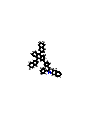 Cc1cc2ccccc2cc1/N=C(\Cc1ccc(-c2ccc3c(-c4ccc5ccccc5c4)c4ccccc4c(-c4ccc5ccccc5c4)c3c2)cc1)c1ccccc1